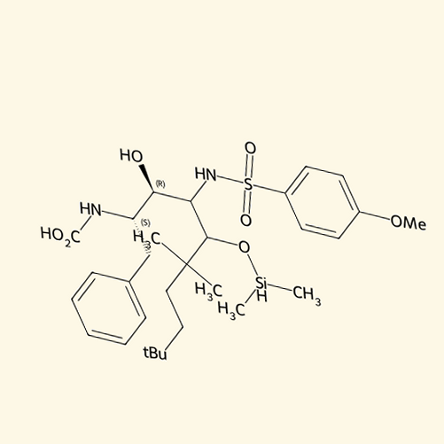 COc1ccc(S(=O)(=O)NC(C(O[SiH](C)C)C(C)(C)CCC(C)(C)C)[C@H](O)[C@H](Cc2ccccc2)NC(=O)O)cc1